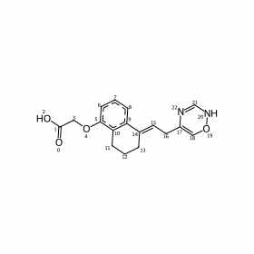 O=C(O)COc1cccc2c1CCCC2=CCC1=CONC=N1